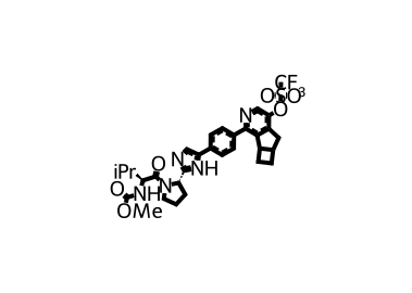 COC(=O)N[C@H](C(=O)N1CCC[C@H]1c1ncc(-c2ccc(-c3ncc(OS(=O)(=O)C(F)(F)F)c4c3C3CCC3C4)cc2)[nH]1)C(C)C